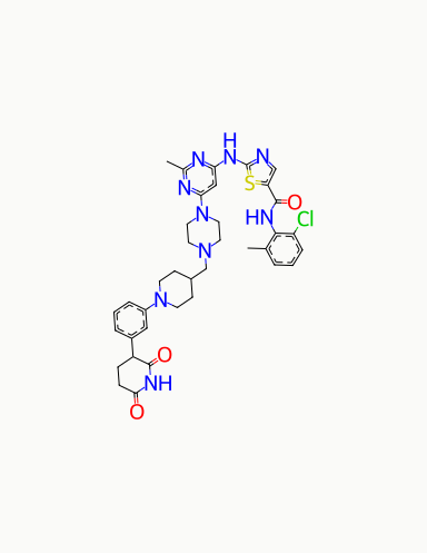 Cc1nc(Nc2ncc(C(=O)Nc3c(C)cccc3Cl)s2)cc(N2CCN(CC3CCN(c4cccc(C5CCC(=O)NC5=O)c4)CC3)CC2)n1